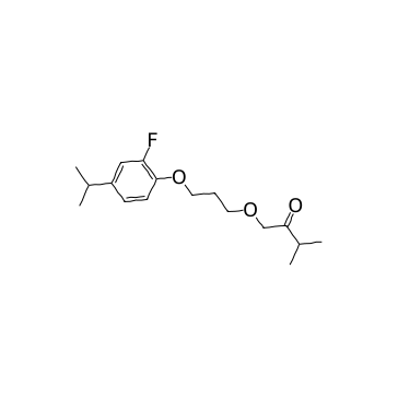 CC(C)C(=O)COCCCOc1ccc(C(C)C)cc1F